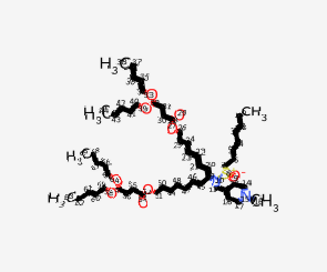 CCCCCCCC[S+]([O-])N(CC1CCN(C)CC1)C(CCCCCCCOC(=O)CCC(OCCCCC)OCCCCC)CCCCCCCOC(=O)CCC(OCCCCC)OCCCCC